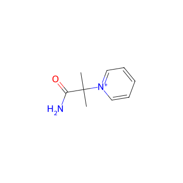 CC(C)(C(N)=O)[n+]1ccccc1